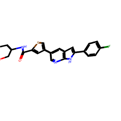 CCC(CO)NC(=O)c1cc(-c2cnc3[nH]c(-c4ccc(F)cc4)cc3c2)cs1